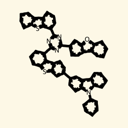 c1ccc(-n2c3ccccc3c3cc(-c4ccc5c(c4)sc4cccc(-c6nc(-c7ccc8c(c7)oc7ccccc78)nc(-c7cccc8c7sc7ccccc78)n6)c45)ccc32)cc1